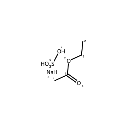 CCOC(C)=O.O=S(=O)(O)O.[NaH]